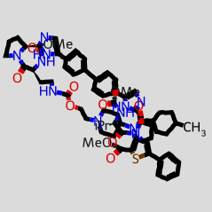 COC(=O)N[C@@H](CCNC(=O)OCCN1CCC(N(C(=O)C2CCC(C)CC2)c2cc(-c3ccccc3)sc2C(=O)OC)CC1)C(=O)N1CCC[C@H]1c1ncc(-c2ccc(-c3ccc(-c4cnc([C@@H]5CCCN5C(=O)[C@@H](NC(=O)OC)C(C)C)[nH]4)cc3)cc2)[nH]1